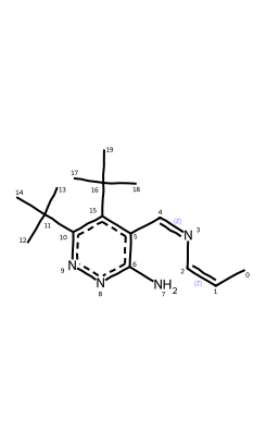 C/C=C\N=C/c1c(N)nnc(C(C)(C)C)c1C(C)(C)C